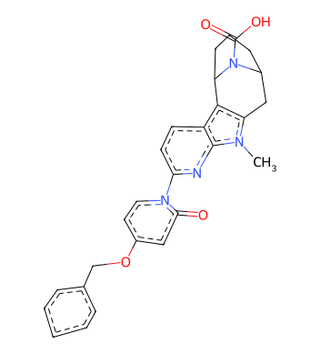 Cn1c2c(c3ccc(-n4ccc(OCc5ccccc5)cc4=O)nc31)C1CCCC(C2)N1C(=O)O